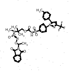 Cc1ccc(-c2cc(C(F)(F)F)nn2-c2ccc(S(=O)(=O)NC(=O)OCC(C)(C)N(C)[N+]([O-])=NOC(C)N3C(=O)c4ccccc4C3=O)cc2)cc1